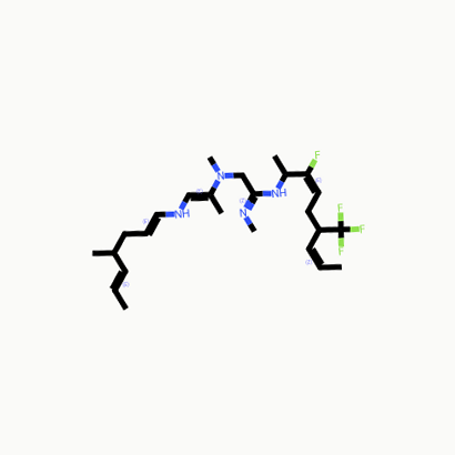 C/C=C\C(C/C=C(/F)C(C)N/C(CN(C)/C(C)=C/N/C=C/CC(C)/C=C/C)=N\C)C(F)(F)F